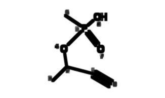 C#CC(C)OP(C)(=O)O